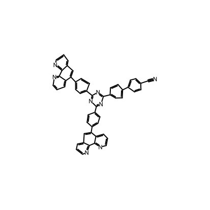 N#Cc1ccc(-c2ccc(-c3nc(-c4ccc(-c5cc6cccnc6c6ncccc56)cc4)nc(-c4ccc(-c5cc6cccnc6c6ncccc56)cc4)n3)cc2)cc1